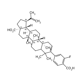 C=C(C)[C@@H]1CC[C@]2(C(=O)O)CC[C@]3(C)[C@H](CC[C@@H]4[C@@]5(C)CC=C(c6ccc(C(=O)O)c(F)c6)C(C)(C)C5CC[C@]43C)[C@@H]12